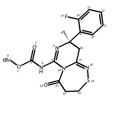 CC(C)(C)OC(=O)NC1=N[C@@](C)(c2ccccc2F)CC2=NSCCC(=O)N21